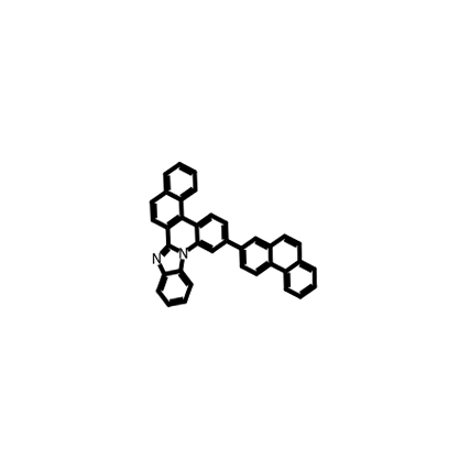 c1ccc2c(c1)ccc1cc(-c3ccc4c5c6ccccc6ccc5c5nc6ccccc6n5c4c3)ccc12